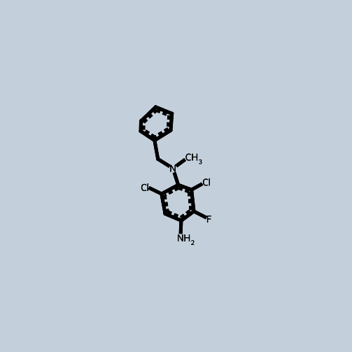 CN(Cc1ccccc1)c1c(Cl)cc(N)c(F)c1Cl